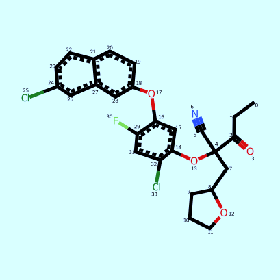 CCC(=O)C(C#N)(CC1CCCO1)Oc1cc(Oc2ccc3ccc(Cl)cc3c2)c(F)cc1Cl